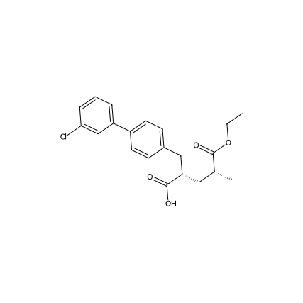 CCOC(=O)[C@H](C)C[C@@H](Cc1ccc(-c2cccc(Cl)c2)cc1)C(=O)O